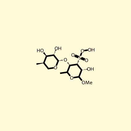 COC1OC(C)[C@H](O[C@@H]2OC[C@@H](C)[C@@H](O)[C@@H]2O)[C@H](S(=O)(=O)OO)[C@@H]1O